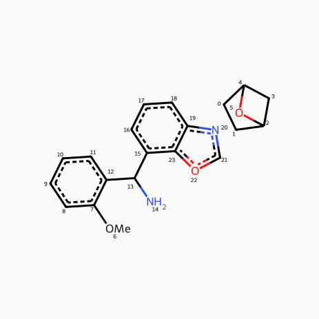 C1CC2CC1O2.COc1ccccc1C(N)c1cccc2ncoc12